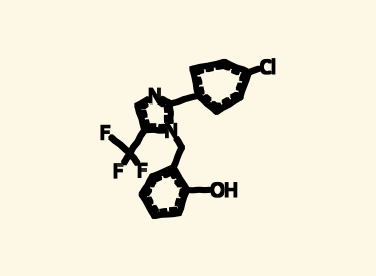 Oc1ccccc1Cn1c(C(F)(F)F)cnc1-c1ccc(Cl)cc1